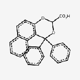 O=C(O)C1Oc2ccc3ccccc3c2C(c2ccccc2)(c2ccccc2)O1